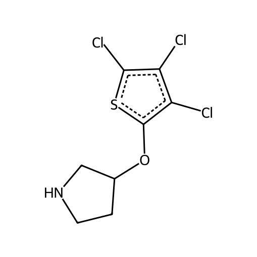 Clc1sc(OC2CCNC2)c(Cl)c1Cl